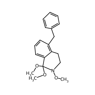 CON1CCc2c(Cc3ccccc3)cccc2C1(OC)OC